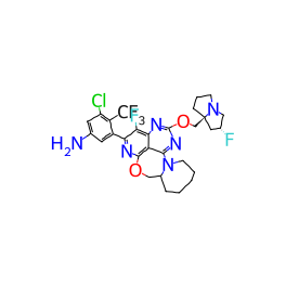 Nc1cc(Cl)c(C(F)(F)F)c(-c2nc3c4c(nc(OC[C@@]56CCCN5C[C@H](F)C6)nc4c2F)N2CCCCCC2CO3)c1